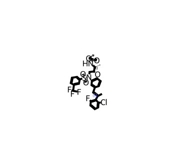 C/C(=C\c1ccc2c(c1)N(S(=O)(=O)c1cccc(C(F)(F)F)c1)CC([C@@H](C)NS(C)(=O)=O)O2)c1c(F)cccc1Cl